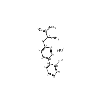 Cl.NC(=O)C(N)Cc1ccc(-c2ccccc2F)cc1